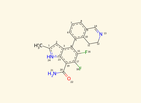 Cc1cc2c(-c3cccc4c3CCN=C4)c(F)c(F)c(C(N)=O)c2[nH]1